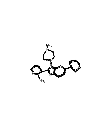 Nc1ncccc1-c1nc2ccc(-c3ccccc3)nc2n1N1CCN(N)CC1